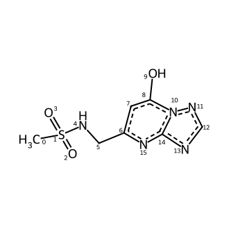 CS(=O)(=O)NCc1cc(O)n2ncnc2n1